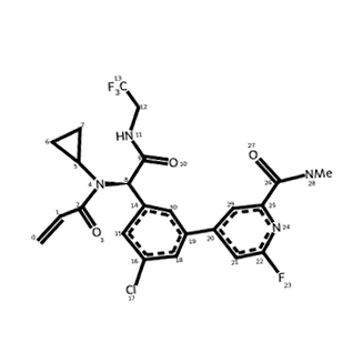 C=CC(=O)N(C1CC1)[C@@H](C(=O)NCC(F)(F)F)c1cc(Cl)cc(-c2cc(F)nc(C(=O)NC)c2)c1